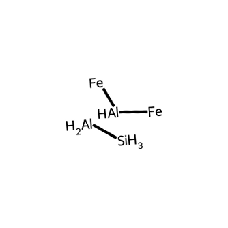 [AlH2][SiH3].[Fe][AlH][Fe]